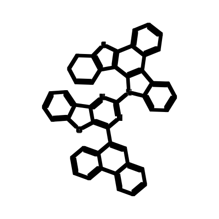 C1=Cc2c(sc3c4ccccc4c4c5ccccc5n(-c5nc(-c6cc7ccccc7c7ccccc67)c6oc7ccccc7c6n5)c4c23)CC1